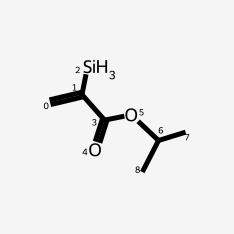 C=C([SiH3])C(=O)OC(C)C